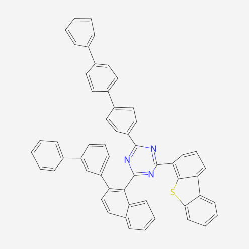 c1ccc(-c2ccc(-c3ccc(-c4nc(-c5c(-c6cccc(-c7ccccc7)c6)ccc6ccccc56)nc(-c5cccc6c5sc5ccccc56)n4)cc3)cc2)cc1